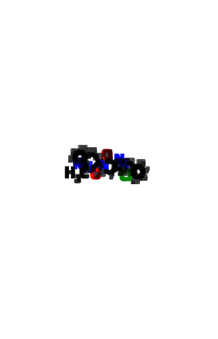 CN1C(=O)C(N2CCc3c(nn(Cc4ccccc4)c3Cl)C2=O)CCc2cccnc21